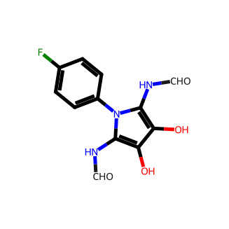 O=CNc1c(O)c(O)c(NC=O)n1-c1ccc(F)cc1